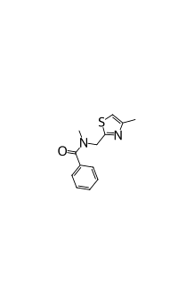 Cc1csc(CN(C)C(=O)c2ccccc2)n1